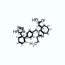 CCCc1nc2c(n1Cc1ccc(-c3ccccc3-c3nnn[nH]3)cc1)C(=CC(=O)O)CCCC2